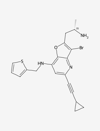 C[C@H](N)Cc1oc2c(NCc3cccs3)cc(C#CC3CC3)nc2c1Br